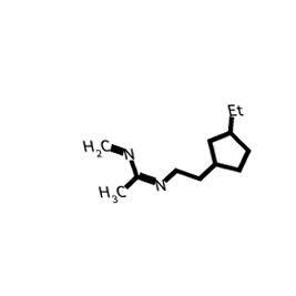 C=N/C(C)=N\CCC1CCC(CC)C1